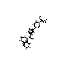 COC(=O)N1CCC(c2cc(C(=O)N3CCCC4CCCC=C43)cs2)CC1